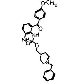 COc1ccc(C(=O)c2cccc(N)c2NC(=O)OCC2CCN(Cc3ccccc3)CC2)cc1